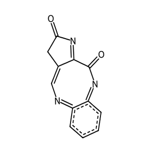 O=C1CC2=CN=c3ccccc3=NC(=O)C2=N1